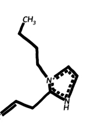 C=CCc1[nH]cc[n+]1CCCC